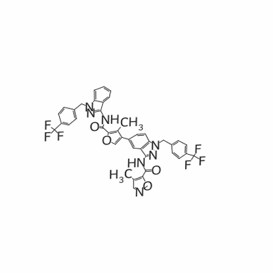 Cc1cnoc1C(=O)Nc1nn(Cc2ccc(C(F)(F)F)cc2)c2ccc(-c3coc(C(=O)Nc4nn(Cc5ccc(C(F)(F)F)cc5)c5ccccc45)c3C)cc12